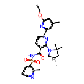 CCOc1cc(C)cc(-c2ccc(C(=O)NS(=O)(=O)c3cccnc3C)c(N3C[C@@H](C)CC3(C)C)n2)n1